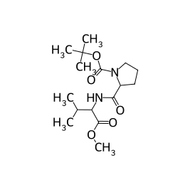 COC(=O)C(NC(=O)C1CCCN1C(=O)OC(C)(C)C)C(C)C